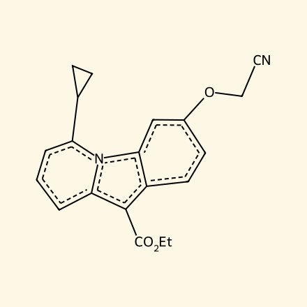 CCOC(=O)c1c2ccc(OCC#N)cc2n2c(C3CC3)cccc12